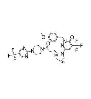 COc1ccc(Cn2nc(N3C[C@H](C)C[C@H]3CCC(=O)N3CCN(c4ncc(C(F)(F)F)cn4)CC3)cc(C(F)(F)F)c2=O)cc1